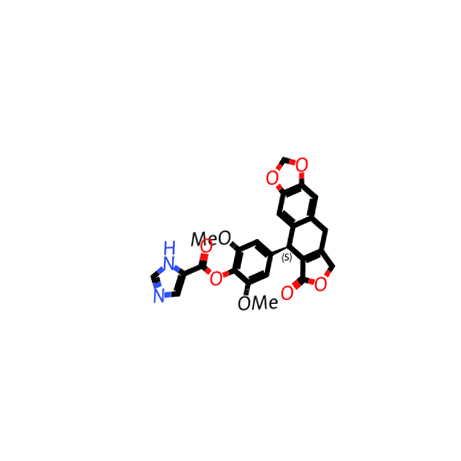 COc1cc([C@@H]2C3=C(COC3=O)Cc3cc4c(cc32)OCO4)cc(OC)c1OC(=O)c1cnc[nH]1